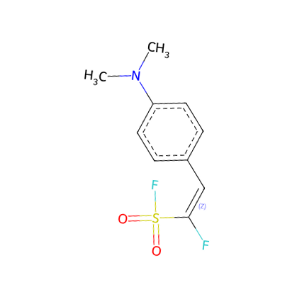 CN(C)c1ccc(/C=C(/F)S(=O)(=O)F)cc1